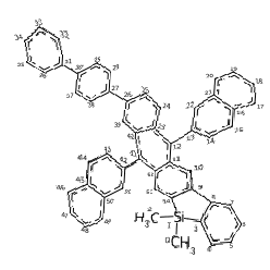 C[Si]1(C)c2ccccc2-c2cc3c(-c4ccc5ccccc5c4)c4ccc(-c5ccc(-c6ccccc6)cc5)cc4c(-c4ccc5ccccc5c4)c3cc21